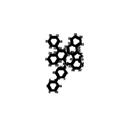 c1ccc(-c2ccc(N(c3ccc(-c4ccccc4)c4ccccc34)c3ccnc4sc5c6ccccc6ccc5c34)cc2)cc1